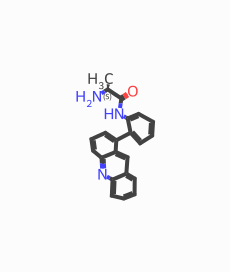 C[C@H](N)C(=O)Nc1ccccc1-c1cccc2nc3ccccc3cc12